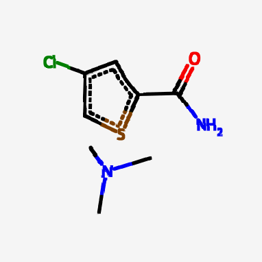 CN(C)C.NC(=O)c1cc(Cl)cs1